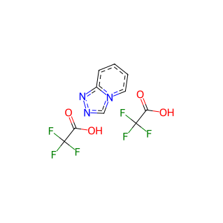 O=C(O)C(F)(F)F.O=C(O)C(F)(F)F.c1ccn2cnnc2c1